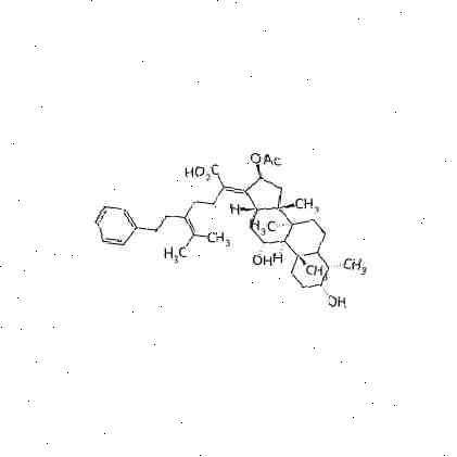 CC(=O)O[C@H]1C[C@@]2(C)[C@H](C[C@@H](O)[C@@H]3[C@@]4(C)CC[C@@H](O)[C@@H](C)C4CC[C@@]32C)C1=C(CCC(CCc1ccccc1)=C(C)C)C(=O)O